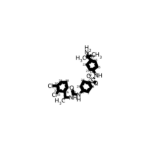 C[C@H](NC(=O)Nc1ccc(S(=O)(=O)Nc2ccc(C(C)(C)N)cc2)cc1)c1cccc(Cl)c1Cl